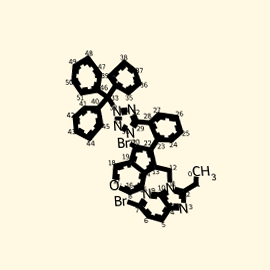 CCc1nc2ccc(Br)nc2n1Cc1c2ccocc-2c(Br)c1-c1ccccc1-c1nnn(C(c2ccccc2)(c2ccccc2)c2ccccc2)n1